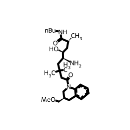 CCCCNC(=O)[C@H](C)C[C@H](O)[C@@H](N)CC(C)(C)CC(=O)N1C[C@H](COC)Cc2ccccc21